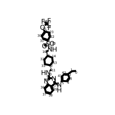 CCc1ccc(Nc2nc(NC[C@H]3CC[C@H](CNS(=O)(=O)c4ccc(OC(F)(F)F)cc4)CC3)nc3ccccc23)cc1